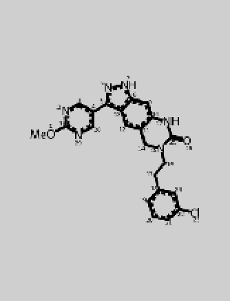 COc1ncc(-c2n[nH]c3cc4c(cc23)CN(CCc2cccc(Cl)c2)C(=O)N4)cn1